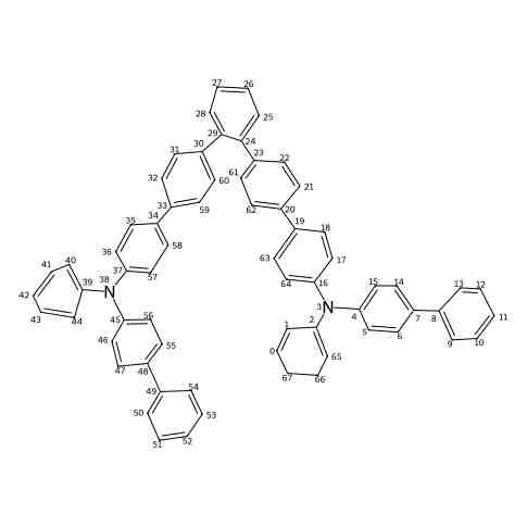 C1=CC(N(c2ccc(-c3ccccc3)cc2)c2ccc(-c3ccc(-c4ccccc4-c4ccc(-c5ccc(N(c6ccccc6)c6ccc(-c7ccccc7)cc6)cc5)cc4)cc3)cc2)=CCC1